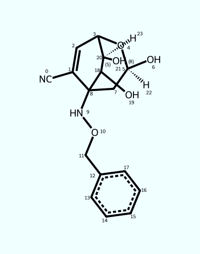 N#CC1=CC2O[C@@H](O)CC1(NOCc1ccccc1)C(O)[C@@H]2O